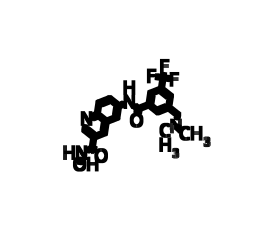 CN(C)Cc1cc(C(=O)Nc2ccc3ncc(C(=O)NO)cc3c2)cc(C(F)(F)F)c1